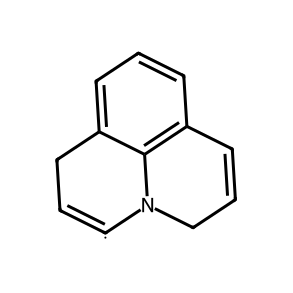 [C]1=CCc2cccc3c2N1CC=C3